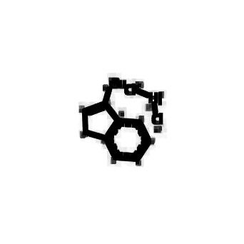 CCC(C)C1=C[CH]c2ccccc21.[Cl][Hf][Cl]